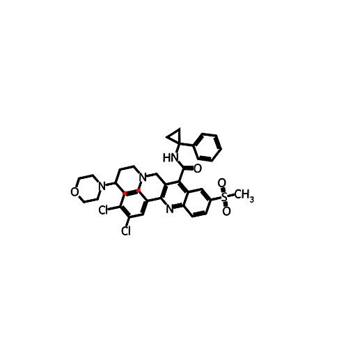 CS(=O)(=O)c1ccc2nc(-c3ccc(Cl)c(Cl)c3)c(CN3CCC(N4CCOCC4)CC3)c(C(=O)NC3(c4ccccc4)CC3)c2c1